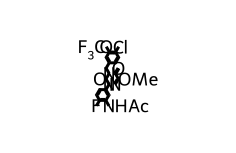 COc1nn(-c2ccc(F)c(NC(C)=O)c2)c(=O)n(Cc2ccc(Cl)c(OC(F)(F)F)c2)c1=O